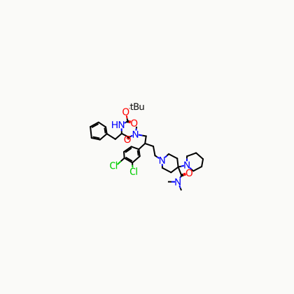 CN(C)C(=O)C1(N2CCCCC2)CCN(CCC(CN(C)C(=O)C(Cc2ccccc2)NC(=O)OC(C)(C)C)c2ccc(Cl)c(Cl)c2)CC1